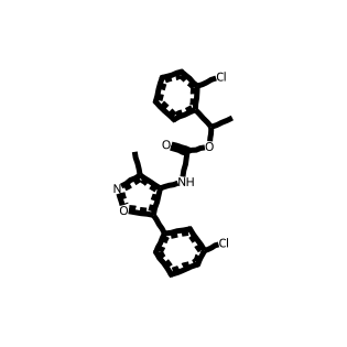 Cc1noc(-c2cccc(Cl)c2)c1NC(=O)OC(C)c1ccccc1Cl